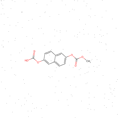 COC(=O)Oc1ccc2cc(OC(=O)O)ccc2c1